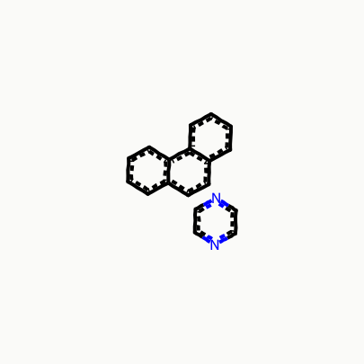 c1ccc2c(c1)ccc1ccccc12.c1cnccn1